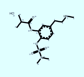 CNCCc1ccc(OS(=O)(=O)N(C)C)c(OC(=O)C(C)C)c1.Cl